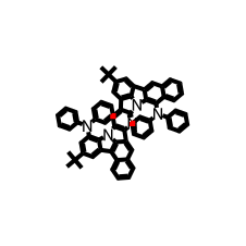 CC(C)(C)c1cc(N(c2ccccc2)c2ccccc2)c2c(c1)c1c3ccccc3cc3c4nc5c(cc4n2c31)c1cc(C(C)(C)C)cc2c3cc4ccccc4c(N(c4ccccc4)c4ccccc4)c3n5c12